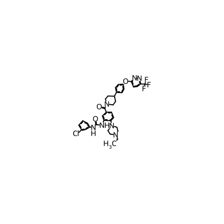 CCN1CCN(c2ccc(C(=O)N3CCC(c4ccc(Oc5ccc(C(F)(F)F)nn5)cc4)CC3)cc2NC(=O)Nc2cccc(Cl)c2)CC1